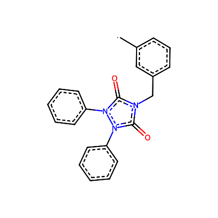 [CH2]c1cccc(Cn2c(=O)n(-c3ccccc3)n(-c3ccccc3)c2=O)c1